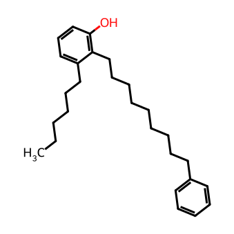 CCCCCCc1cccc(O)c1CCCCCCCCCc1ccccc1